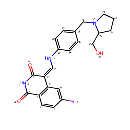 O=C1NC(=O)c2ccc(I)cc2/C1=C/Nc1ccc(CN2CCCC2CO)cc1